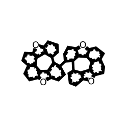 c1cc2c3c(c1)oc1ccc4ccc5oc6ccc(-c7ccc8oc9ccc%10ccc%11oc%12cccc%13c%12c%11c%10c9c8c7-%13)c-2c6c5c4c13